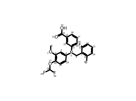 COc1cc(N(Cc2c(F)cccc2F)c2cccc(C(=O)O)c2)ccc1OC(F)F